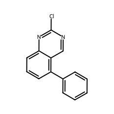 Clc1ncc2c(-c3ccccc3)cccc2n1